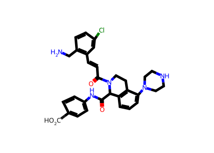 NCc1ccc(Cl)cc1C=CC(=O)N1CCc2c(cccc2N2CCNCC2)C1C(=O)Nc1ccc(C(=O)O)cc1